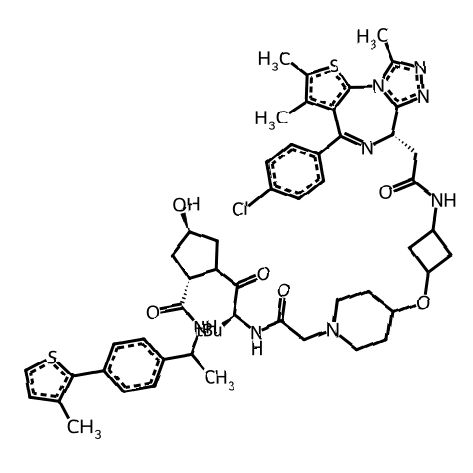 Cc1ccsc1-c1ccc(C(C)NC(=O)[C@@H]2C[C@@H](O)CC2C(=O)[C@@H](NC(=O)CN2CCC(OC3CC(NC(=O)C[C@@H]4N=C(c5ccc(Cl)cc5)c5c(sc(C)c5C)-n5c(C)nnc54)C3)CC2)C(C)(C)C)cc1